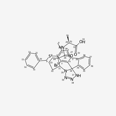 Cc1cc2c(c(Br)c1SCc1ccccc1)C1(NN=NN1C1CCCC1C(=O)N[C@@H](C)C(=O)O)c1ccccc1-2